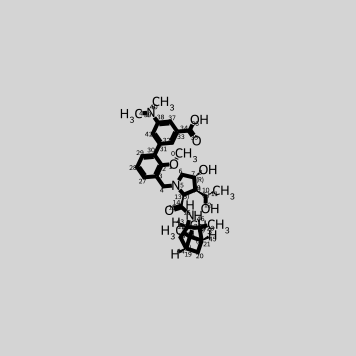 COc1c(CN2C[C@H](O)[C@@H]([C@H](C)O)[C@H]2C(=O)N[C@H]2C[C@H]3C[C@@H]([C@@H]2C)C3(C)C)cccc1-c1cc(C(=O)O)cc(N(C)C)c1